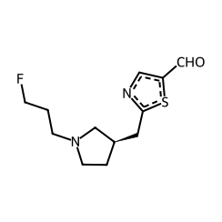 O=Cc1cnc(C[C@H]2CCN(CCCF)C2)s1